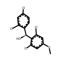 COc1cc(Cl)c([C@@H](O)c2ccc(Cl)cc2Cl)c(Cl)c1